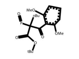 CCCCC(P=O)(C(=O)OC(C)(C)C)C(=O)c1c(OC)cccc1OC